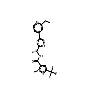 CCc1cc(-c2noc([C@H](C)NC(=O)c3cc(C(F)(F)F)nn3C)n2)ccn1